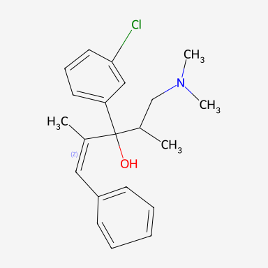 C/C(=C/c1ccccc1)C(O)(c1cccc(Cl)c1)C(C)CN(C)C